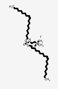 CCCCCCCC/C=C\CCCCCCCCOP(=O)(NCC[N+](C)(C)C)OCCCCCCCC/C=C\CCCCCCCC.[I-]